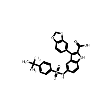 CC(C)(C)c1ccc(S(=O)(=O)Nc2ccc3[nH]c(C(=O)O)c(-c4ccc5c(c4)OCO5)c3c2)cc1